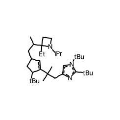 CCC1(C(C)CC2C=C(C(C)(C)Cc3cn(C(C)(C)C)c(C(C)(C)C)n3)C(C(C)(C)C)C2)CCN1C(C)C